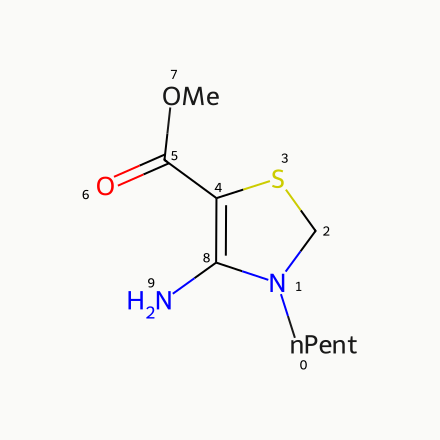 CCCCCN1CSC(C(=O)OC)=C1N